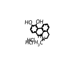 CN1CCc2cccc3c2[C@H]1Cc1ccc(O)c(O)c1-3.Cl.Cl